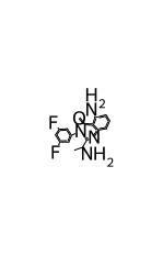 CC(N)c1nc2cccc(N)c2c(=O)n1-c1cc(F)cc(F)c1